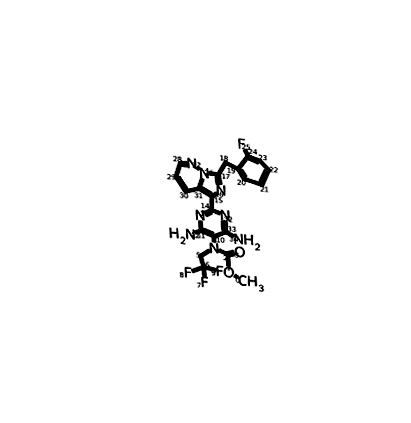 COC(=O)N(CC(F)(F)F)c1c(N)nc(-c2nc(Cc3ccccc3F)n3ncccc23)nc1N